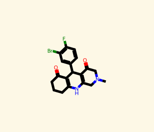 CN1CC(=O)C2=C(C1)NC1=C(C(=O)CCC1)C2c1ccc(F)c(Br)c1